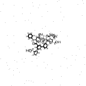 COc1c(CN2O[C@@H](CO)[C@@H](CO)[C@H]2C(N)=O)cccc1-c1cc(C(=O)N[C@@H](Cc2ccccc2)CN(C)C)cc(N2CCC[C@@H]2CO)c1